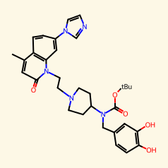 Cc1cc(=O)n(CCN2CCC(N(Cc3ccc(O)c(O)c3)C(=O)OC(C)(C)C)CC2)c2cc(-n3ccnc3)ccc12